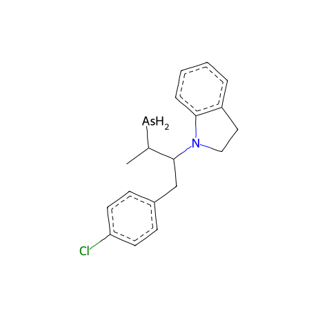 CC([AsH2])C(Cc1ccc(Cl)cc1)N1CCc2ccccc21